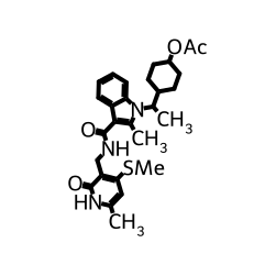 CSc1cc(C)[nH]c(=O)c1CNC(=O)c1c(C)n(C(C)C2CCC(OC(C)=O)CC2)c2ccccc12